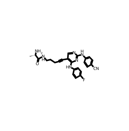 C[C@H](N)C(=O)NCCCC#Cc1cnc(Nc2ccc(C#N)cc2)nc1Nc1ccc(F)cc1